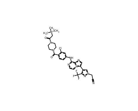 C[N+](C)(C)CC(=O)N1CCN(C(=O)c2ccc(Nc3nccn4c(-c5cn(CC#N)nc5C(F)(F)F)cnc34)cc2Cl)CC1